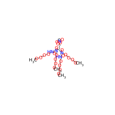 COCCOCCOCCOCCNC(=O)CN(CCOCCOCCOCCOC)C(=O)CC(CCCC(=O)ON1C(=O)CCC1=O)C(=O)N(CCOCCOCCOCCOC)CC(=O)NCCOCCOCCOCCOC